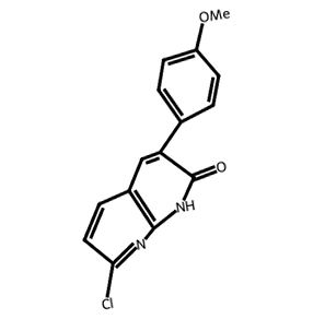 COc1ccc(-c2cc3ccc(Cl)nc3[nH]c2=O)cc1